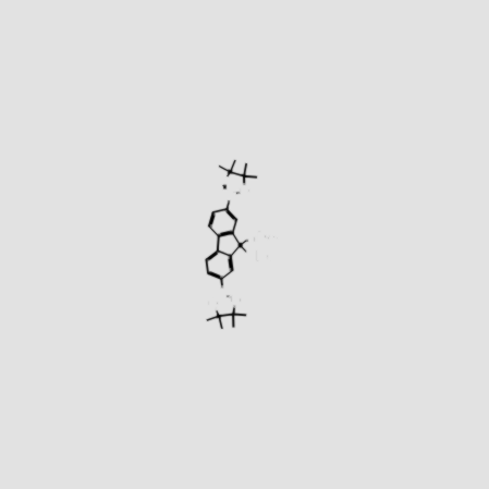 CCCCCCCCCCC1(CCCCCCCCCC)c2cc(B3OC(C)(C)C(C)(C)O3)ccc2-c2ccc(B3OC(C)(C)C(C)(C)O3)cc21